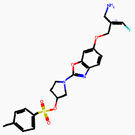 Cc1ccc(S(=O)(=O)OC2CCN(c3nc4ccc(OC/C(=C\F)CN)cc4o3)C2)cc1